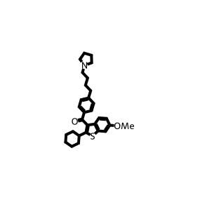 COc1ccc2c(C(=O)c3ccc(CCCCN4CCCC4)cc3)c(C3CCCCC3)sc2c1